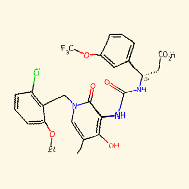 CCOc1cccc(Cl)c1Cn1cc(C)c(O)c(NC(=O)N[C@@H](CC(=O)O)c2cccc(OC(F)(F)F)c2)c1=O